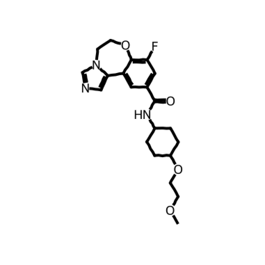 COCCOC1CCC(NC(=O)c2cc(F)c3c(c2)-c2cncn2CCO3)CC1